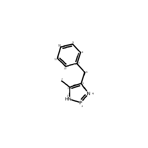 Cc1[nH]pnc1Cc1ccccc1